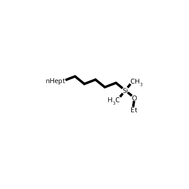 CCCCCCCCCCCC[Si](C)(C)OCC